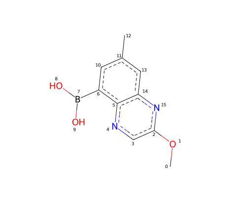 COc1cnc2c(B(O)O)cc(C)cc2n1